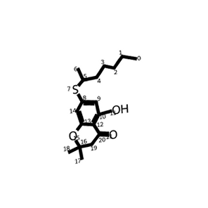 CCCCCC(C)Sc1cc(O)c2c(c1)OC(C)(C)CC2=O